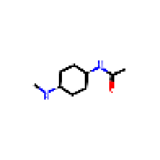 CN[C@H]1CC[C@@H](NC(C)=O)CC1